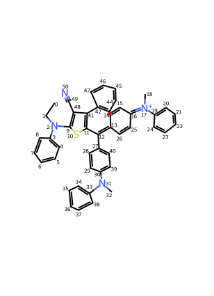 CCN(c1ccccc1)c1sc(C(=C2C=CC(=[N+](C)c3ccccc3)C=C2)c2ccc(N(C)c3ccccc3)cc2)c(-c2ccccc2)c1C#N